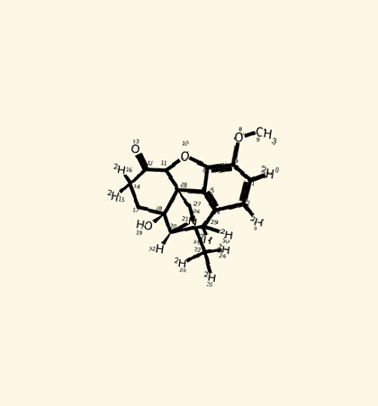 [2H]c1c([2H])c2c3c(c1OC)OC1C(=O)C([2H])([2H])C[C@@]4(O)[C@H](N(C([2H])([2H])[2H])CC[C@]314)C2([2H])[2H]